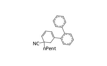 CCCCCC1(C#N)C=CC=C(c2ccccc2-c2ccccc2)C1